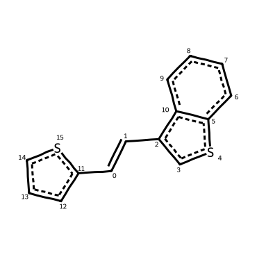 C(=Cc1csc2ccccc12)c1cccs1